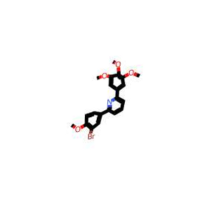 COc1ccc(-c2cccc(-c3cc(OC)c(OC)c(OC)c3)n2)cc1Br